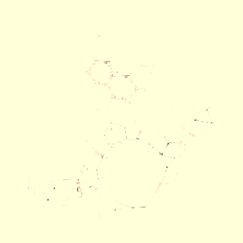 CCOc1ccc2c(O[C@@H]3C[C@H]4C(=O)N[C@]5(C(=O)NS(=O)(=O)C6(C)CC6)C[C@H]5/C=C\CC[C@@H](C)C[C@@H](C)[C@H](NC(=O)OC(C)(C)C(F)(F)F)C(=O)N4C3)ncc(OC)c2c1